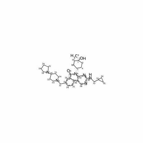 C[C@]1(O)CC[C@H](n2c(=O)c3cc(CN4CCC(N5CCCC5)CC4)ccc3c3cnc(NCC4CC4)nc32)CC1